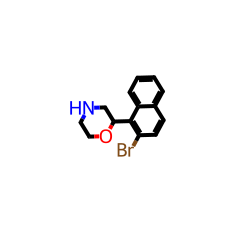 Brc1ccc2ccccc2c1C1CNCCO1